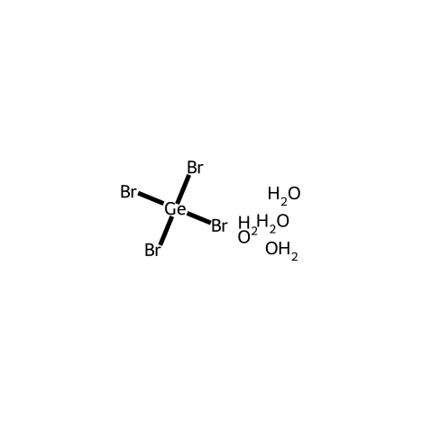 O.O.O.O.[Br][Ge]([Br])([Br])[Br]